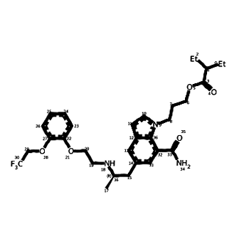 CCC(CC)C(=O)OCCCn1ccc2cc(C[C@@H](C)NCCOc3ccccc3OCC(F)(F)F)cc(C(N)=O)c21